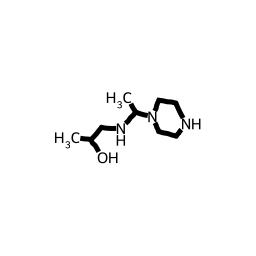 CC(O)CNC(C)N1CCNCC1